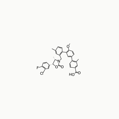 COc1ccc(-c2ccc(C(=O)O)cc2C)cc1-c1ccc(C)cc1CN1C(=O)O[C@H](c2ccc(F)c(Cl)c2)[C@@H]1C